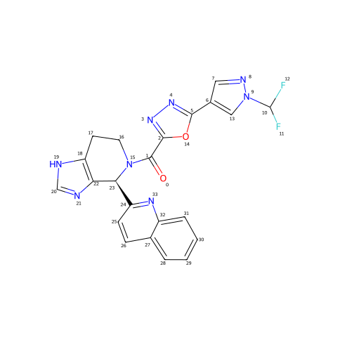 O=C(c1nnc(-c2cnn(C(F)F)c2)o1)N1CCc2[nH]cnc2[C@@H]1c1ccc2ccccc2n1